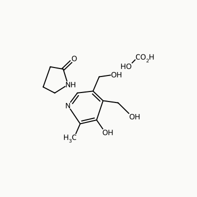 Cc1ncc(CO)c(CO)c1O.O=C(O)O.O=C1CCCN1